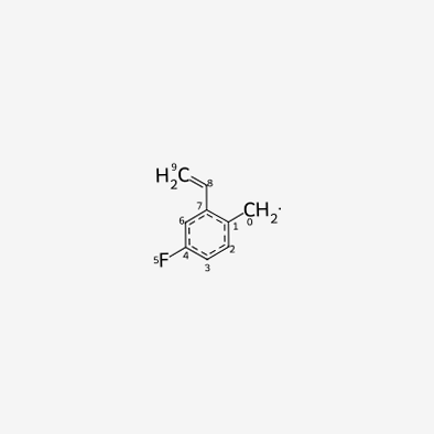 [CH2]c1ccc(F)cc1C=C